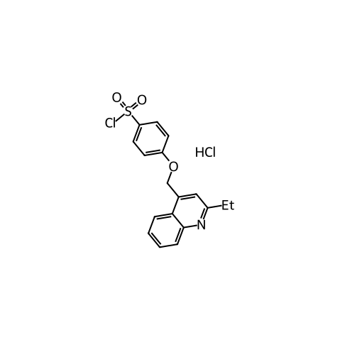 CCc1cc(COc2ccc(S(=O)(=O)Cl)cc2)c2ccccc2n1.Cl